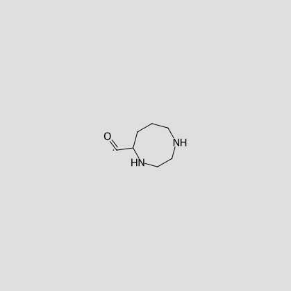 O=[C]C1CCCNCCN1